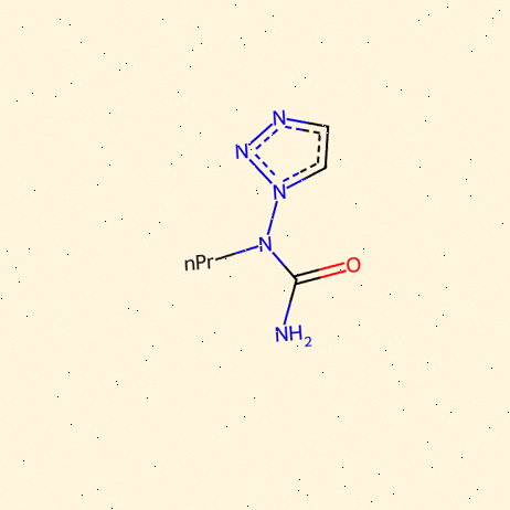 CCCN(C(N)=O)n1ccnn1